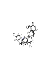 C=Cc1ccc(/C(N)=C/C2=C(N)NCCN2Cc2c(F)ccc(F)c2Cl)cc1